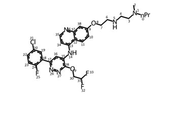 CCCN(C)CCNCCOc1ccc2c(Nc3cc(-c4cc(Cl)ccc4F)nnc3OCC(F)F)ccnc2c1